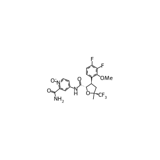 COc1c([C@H]2C[C@@](C)(C(F)(F)F)O[C@@H]2C(=O)Nc2cc[n+]([O-])c(C(N)=O)c2)ccc(F)c1F